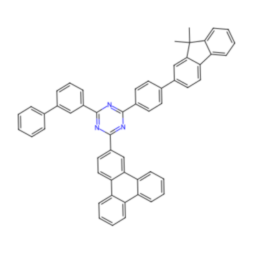 CC1(C)c2ccccc2-c2ccc(-c3ccc(-c4nc(-c5cccc(-c6ccccc6)c5)nc(-c5ccc6c7ccccc7c7ccccc7c6c5)n4)cc3)cc21